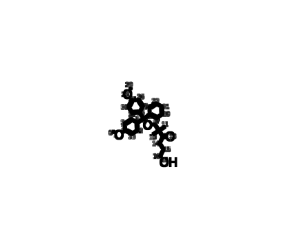 COc1ccc(C(OCC(C)(C)C(=O)CCCO)(c2ccccc2)c2ccc(OC)cc2)cc1